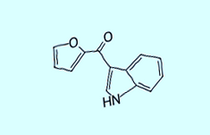 O=C(c1ccco1)c1c[nH]c2ccccc12